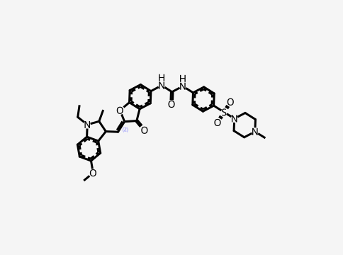 CCN1c2ccc(OC)cc2C(/C=C2\Oc3ccc(NC(=O)Nc4ccc(S(=O)(=O)N5CCN(C)CC5)cc4)cc3C2=O)C1C